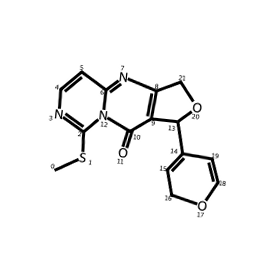 CSc1nccc2nc3c(c(=O)n12)C(C1=CCOC=C1)OC3